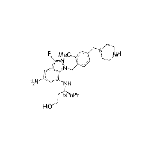 CCC[C@@H](CCO)Nc1cc(N)cc2c(F)nn(Cc3ccc(CN4CCNCC4)cc3OC)c12